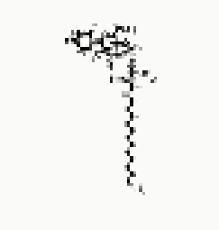 CCCCCCCCCCCCCCC[C@@H](O)[C@@H](N)COP(=O)(O)OC[C@H](CO)O[C@@H](n1ccc(=O)[nH]c1=S)C(C)(C)O